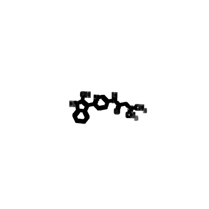 CN(C)CC(=O)Nc1ccc(-c2c(O)[nH]c3ccccc23)nc1